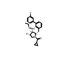 CCSN[C@H]1[C@@H](F)CN(C(=O)C2CC2)[C@H]1Cc1cccc(-c2cccc(F)c2)c1